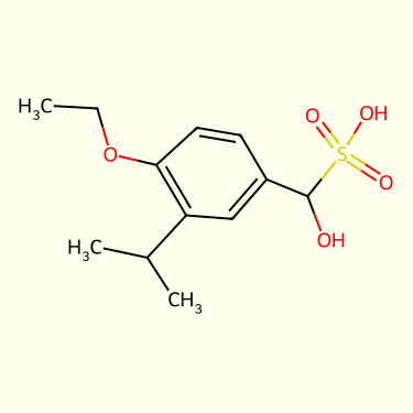 CCOc1ccc(C(O)S(=O)(=O)O)cc1C(C)C